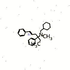 CCC(C/C=C/c1ccccc1)(c1ccccc1)N(C)CC1CCCCC1